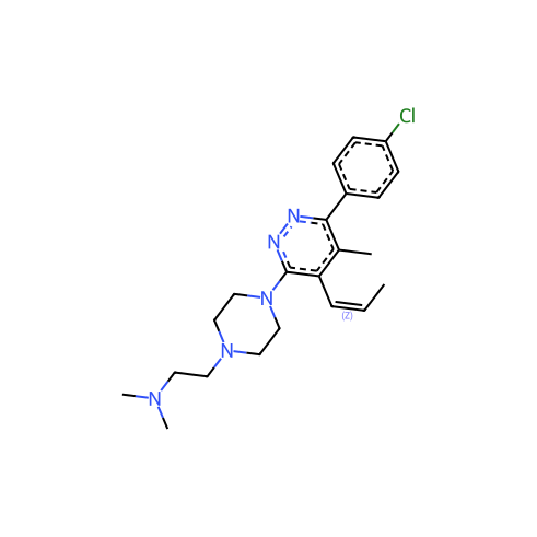 C/C=C\c1c(N2CCN(CCN(C)C)CC2)nnc(-c2ccc(Cl)cc2)c1C